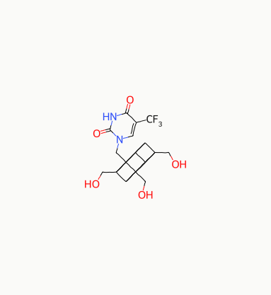 O=c1[nH]c(=O)n(CC23C4C5C6(CO)C4C2(CO)C6C53CO)cc1C(F)(F)F